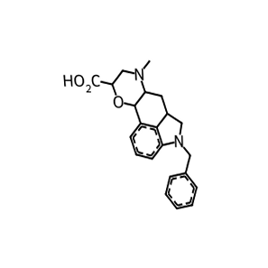 CN1CC(C(=O)O)OC2c3cccc4c3C(CC21)CN4Cc1ccccc1